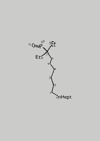 CCCCCCCCCCCCCC(CC)(CC)P=O